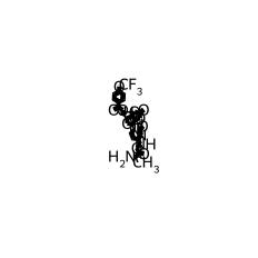 C[C@@H](N)C(=O)ONc1ccn([C@@H]2O[C@H](COC(=O)c3ccc(OC(F)(F)F)cc3)[C@H]3OC(=O)O[C@H]32)c(=O)n1